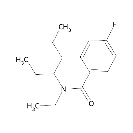 CCCC(CC)N(CC)C(=O)c1ccc(F)cc1